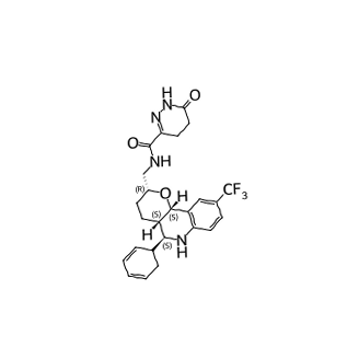 O=C1CCC(C(=O)NC[C@H]2CC[C@@H]3[C@H](O2)c2cc(C(F)(F)F)ccc2N[C@H]3C2C=CC=CC2)=NN1